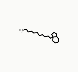 NCCCCCCCCCCC12CCCCC1CCC2